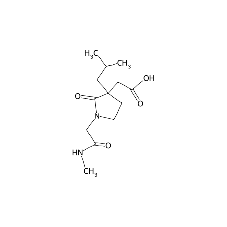 CNC(=O)CN1CCC(CC(=O)O)(CC(C)C)C1=O